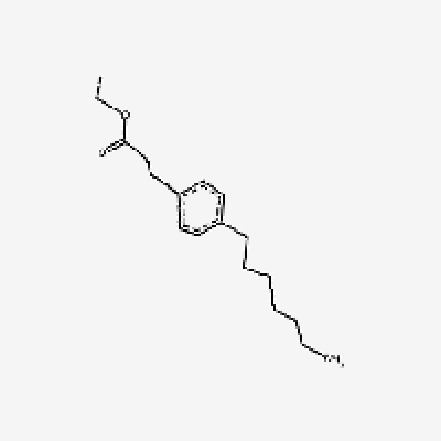 CCOC(=O)CCc1ccc(CCCCCCN)cc1